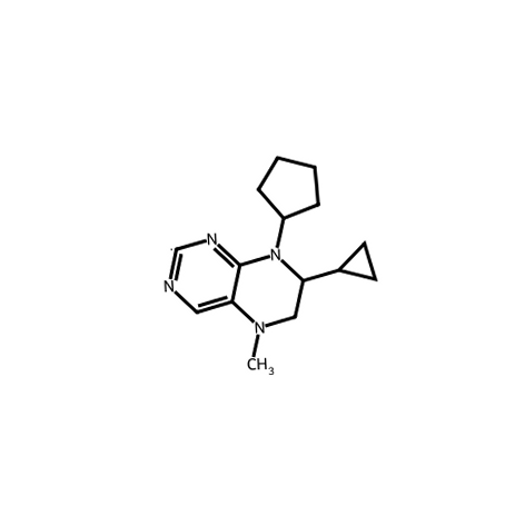 CN1CC(C2CC2)N(C2CCCC2)c2n[c]ncc21